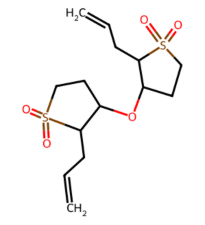 C=CCC1C(OC2CCS(=O)(=O)C2CC=C)CCS1(=O)=O